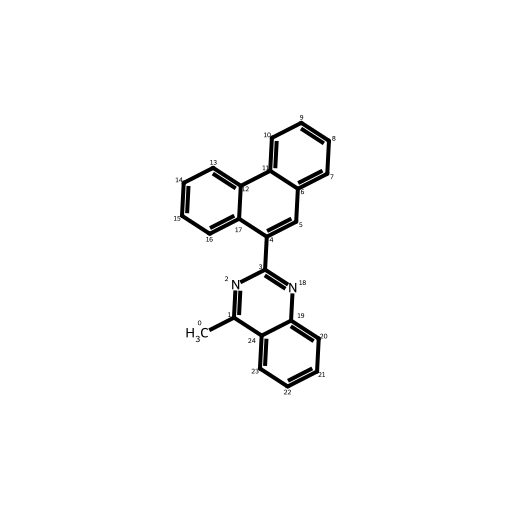 Cc1nc(-c2cc3ccccc3c3ccccc23)nc2ccccc12